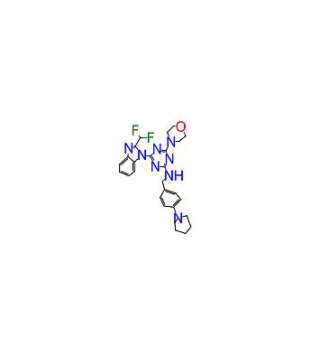 FC(F)c1nc2ccccc2n1-c1nc(NCc2ccc(N3CCCCC3)cc2)nc(N2CCOCC2)n1